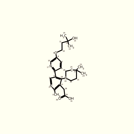 Cc1ncc(-c2ccc(OCCC(C)(C)O)cn2)c(N2CCC(C)(C)CC2)c1CC(=O)O